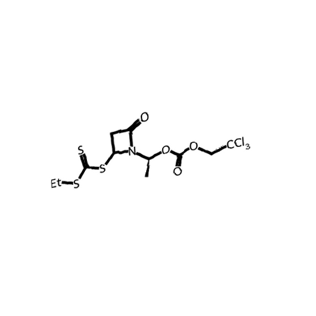 CCSC(=S)SC1CC(=O)N1[C@H](C)OC(=O)OCC(Cl)(Cl)Cl